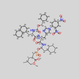 COC(=O)C(CC(C)C)C[PH](=O)OC(CC1CCCCC1)NC(=O)[C@H](Cc1cn(-c2ccc([N+](=O)[O-])cc2[N+](=O)[O-])cn1)NC(=O)C(Cc1cccc2ccccc12)NC(=O)OCc1ccccc1